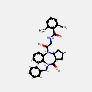 Cc1cccc(C)c1C(=O)NCC(=O)N1c2ccccc2N(Cc2ccccc2)C(=O)C2CCCC21